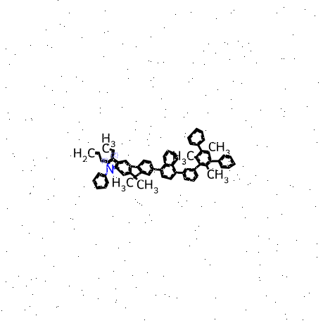 C=C/C=c1\c(=C/C)c2cc3c(cc2n1-c1ccccc1)C(C)(C)c1cc(-c2ccc(-c4cccc(-c5c(C)c(-c6ccccc6)c(C)c(-c6ccccc6)c5C)c4)c4ccccc24)ccc1-3